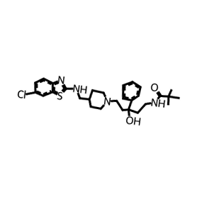 CC(C)(C)C(=O)NCCC(O)(CCN1CCC(CNc2nc3ccc(Cl)cc3s2)CC1)c1ccccc1